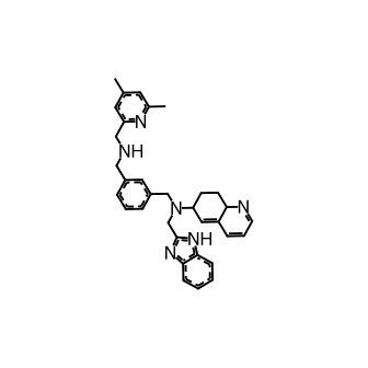 Cc1cc(C)nc(CNCc2cccc(CN(Cc3nc4ccccc4[nH]3)C3C=C4C=CC=NC4CC3)c2)c1